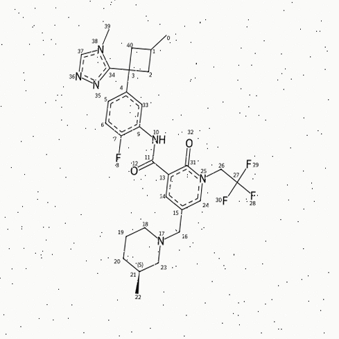 CC1CC(c2ccc(F)c(NC(=O)c3cc(CN4CCC[C@H](C)C4)cn(CC(F)(F)F)c3=O)c2)(c2nncn2C)C1